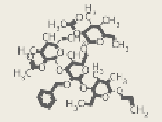 C=CCO[C@@H]1OC(CC)[C@@H](O[C@@H]2OC(CO[C@H]3OC(CC)[C@@H](C)[C@@H](C)C3OC(C)=O)[C@@H](C)[C@@H](O[C@H]3O[C@@H](CC)[C@@H](C)C(C)C3OC(C)=O)C2OCc2ccccc2)[C@@H](C)C1C